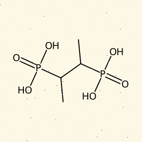 CC(C(C)P(=O)(O)O)P(=O)(O)O